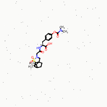 CN(C)C(=O)Oc1ccc(C[C@H](NC(=O)CN2CC34CCC(CC3S2(=O)=O)C4(C)C)C(=O)O)cc1